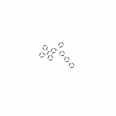 c1ccc(-c2ccc(-c3ccc(N(c4ccccc4)c4ccc5c(-c6ccccc6)c(-c6ccccc6)c6ccccc6c5c4)cc3)cc2)cc1